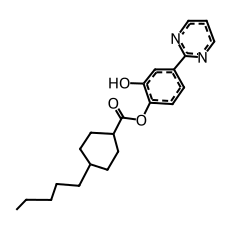 CCCCCC1CCC(C(=O)Oc2ccc(-c3ncccn3)cc2O)CC1